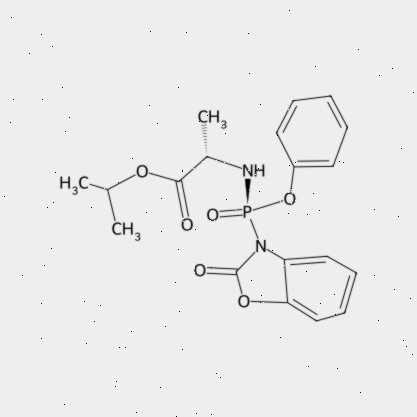 CC(C)OC(=O)[C@H](C)N[P@@](=O)(Oc1ccccc1)n1c(=O)oc2ccccc21